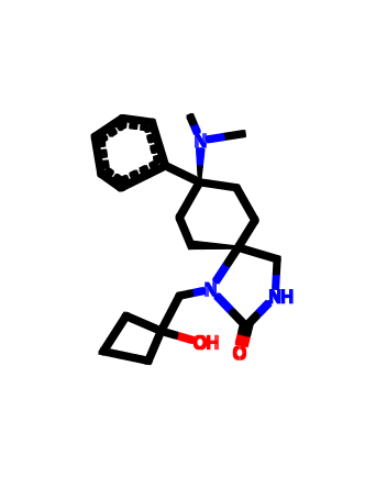 CN(C)[C@]1(c2ccccc2)CC[C@@]2(CC1)CNC(=O)N2CC1(O)CCC1